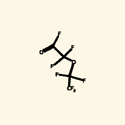 O=C(F)C(F)(F)OC(F)(F)C(F)(F)F